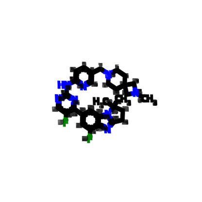 CN1CC2(CCN(Cc3ccc(Nc4ncc(F)c(-c5cc(F)c6nc7n(c6c5)C(C)(C)CC7)n4)nc3)CC2)C1